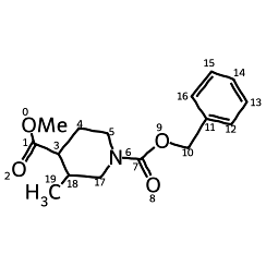 COC(=O)C1CCN(C(=O)OCc2ccccc2)CC1C